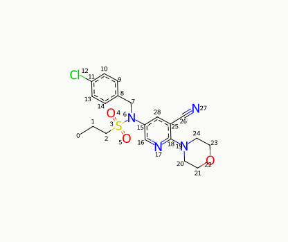 CCCS(=O)(=O)N(Cc1ccc(Cl)cc1)c1cnc(N2CCOCC2)c(C#N)c1